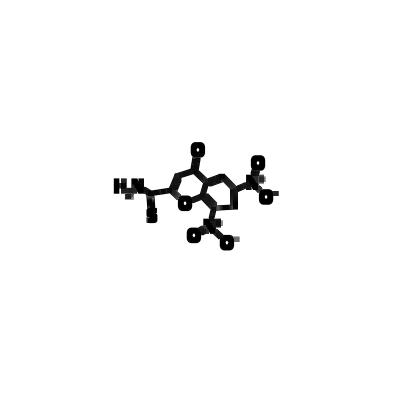 NC(=S)c1cc(=O)c2cc([N+](=O)[O-])cc([N+](=O)[O-])c2o1